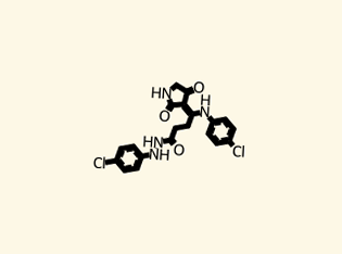 O=C(CCC(Nc1ccc(Cl)cc1)=C1C(=O)CNC1=O)NNc1ccc(Cl)cc1